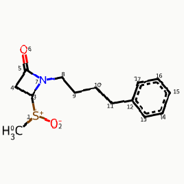 C[S+]([O-])C1CC(=O)N1CCCCc1ccccc1